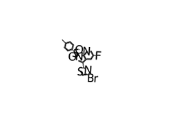 Cc1ccc(S(=O)(=O)n2cc(-c3nc(Br)cs3)c3cc(F)cnc32)cc1